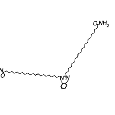 NC(=O)CCCCCCCCCCCC=CCCCCCCCCN1Cc2ccccc2CN=C1CCCCCCCC=CCCCCCCCCCCCC(N)=O